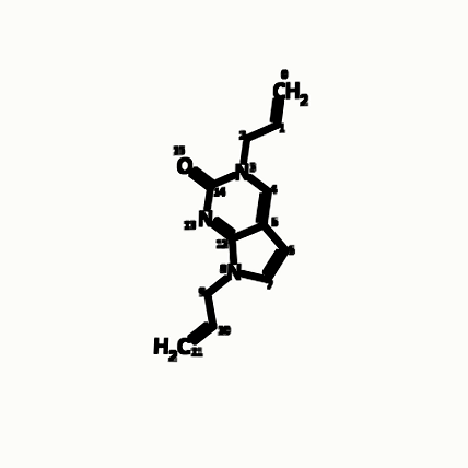 C=CCn1cc2ccn(CC=C)c2nc1=O